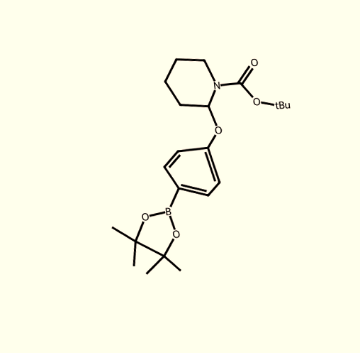 CC(C)(C)OC(=O)N1CCCCC1Oc1ccc(B2OC(C)(C)C(C)(C)O2)cc1